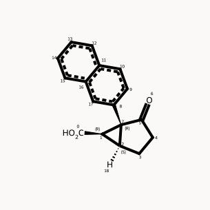 O=C(O)[C@@H]1[C@@H]2CCC(=O)[C@@]12c1ccc2ccccc2c1